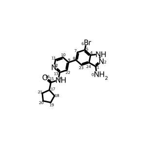 Nc1n[nH]c2c(Br)cc(-c3ccnc(NC(=O)C4CCCC4)c3)cc12